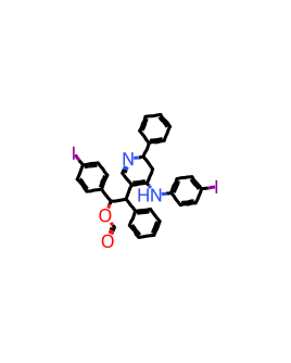 O=COC(c1ccc(I)cc1)C(C1=C(Nc2ccc(I)cc2)CC(c2ccccc2)N=C1)c1ccccc1